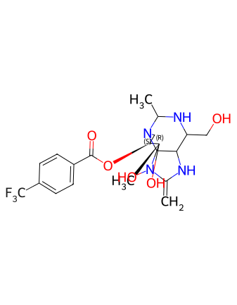 C=C1NC2C(CO)NC(C)N3C[C@H](OC(=O)c4ccc(C(F)(F)F)cc4)[C@](C)(O)C23N1O